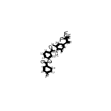 C=C(c1cc(C)c(NC(=O)c2cccc(OC(=O)c3ccc(F)cc3)c2)c(C)c1)C(F)(F)F